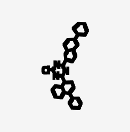 Clc1nc(-c2ccc3cc(-c4ccccc4)ccc3c2)nc(-c2ccc(-c3ccccc3)c3ccccc23)n1